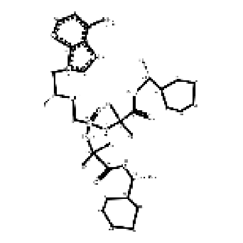 C[C@H](Cn1cnc2c(N)ccnc21)OCP(=O)(NC(C)(C)C(=O)O[C@H](C)C1CCCCC1)NC(C)(C)C(=O)O[C@H](C)C1CCCCC1